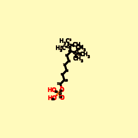 C[Si](C)(C)C(CCCCCCCOP(=O)(O)O)[Si](C)(C)C